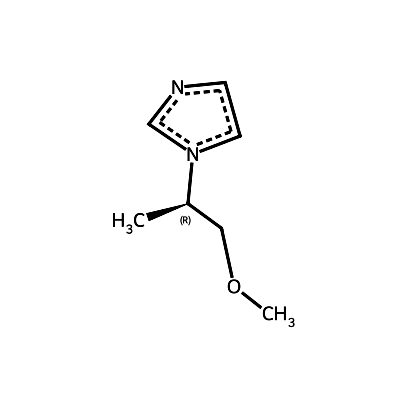 COC[C@@H](C)n1ccnc1